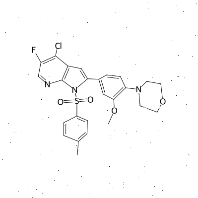 COc1cc(-c2cc3c(Cl)c(F)cnc3n2S(=O)(=O)c2ccc(C)cc2)ccc1N1CCOCC1